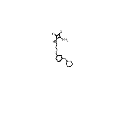 Nc1c(NCCCOc2cccc(CN3CCCCC3)c2)c(=O)c1=O